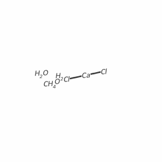 C.O.O.[Cl][Ca][Cl]